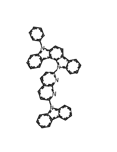 c1ccc(-n2c3ccccc3c3c2ccc2c4ccccc4n(-c4ccc5ccc(-n6c7ccccc7c7ccccc76)nc5n4)c23)cc1